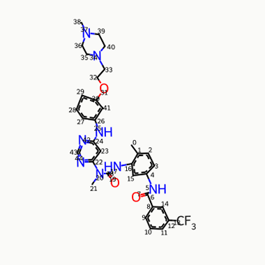 Cc1ccc(NC(=O)c2cccc(C(F)(F)F)c2)cc1NC(=O)N(C)c1cc(Nc2cccc(OCCN3CCN(C)CC3)c2)ncn1